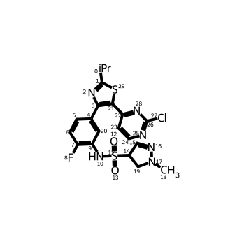 CC(C)c1nc(-c2ccc(F)c(NS(=O)(=O)C3C=NN(C)C3)c2)c(-c2ccnc(Cl)n2)s1